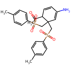 CC(=O)C1C=CC(N)=CC1(CS(=O)(=O)c1ccc(C)cc1)CS(=O)(=O)c1ccc(C)cc1